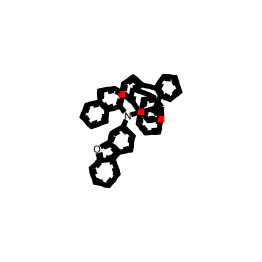 c1ccc2c(c1)-c1cccc3c1-c1cc(N(c4ccc5c(c4)oc4ccccc45)c4cccc5ccccc45)ccc1-c1cccc-3c1-2